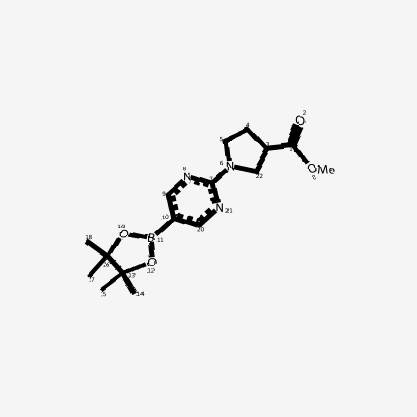 COC(=O)C1CCN(c2ncc(B3OC(C)(C)C(C)(C)O3)cn2)C1